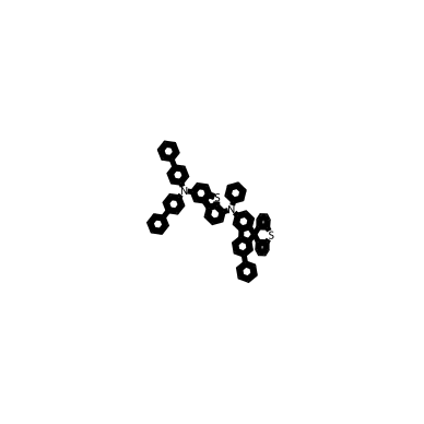 c1ccc(-c2ccc(N(c3ccc(-c4ccccc4)cc3)c3ccc4sc5c(N(c6ccccc6)c6ccc7c(c6)-c6ccc(-c8ccccc8)cc6C76c7ccccc7Sc7ccccc76)cccc5c4c3)cc2)cc1